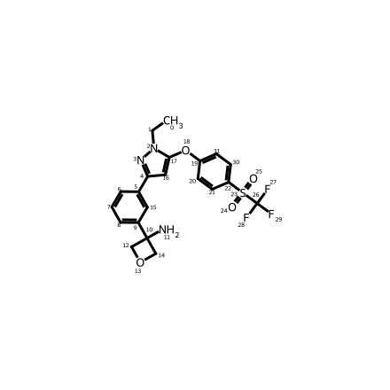 CCn1nc(-c2cccc(C3(N)COC3)c2)cc1Oc1ccc(S(=O)(=O)C(F)(F)F)cc1